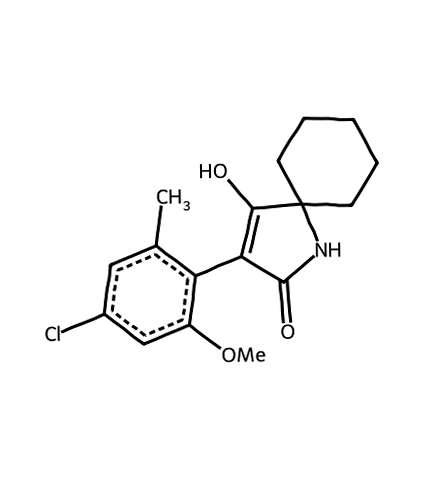 COc1cc(Cl)cc(C)c1C1=C(O)C2(CCCCC2)NC1=O